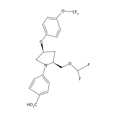 O=C(O)c1ccc(N2C[C@@H](Oc3ccc(OC(F)(F)F)cc3)C[C@H]2COC(F)F)cc1